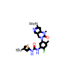 CNc1cc2c(cn1)CN(c1cc(NC(=O)Nc3cc(C(C)(C)C)cs3)c(F)cc1C)C(=O)N2C